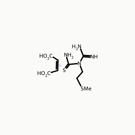 CSCCN(C(=N)N)C(N)=S.O=C(O)/C=C\C(=O)O